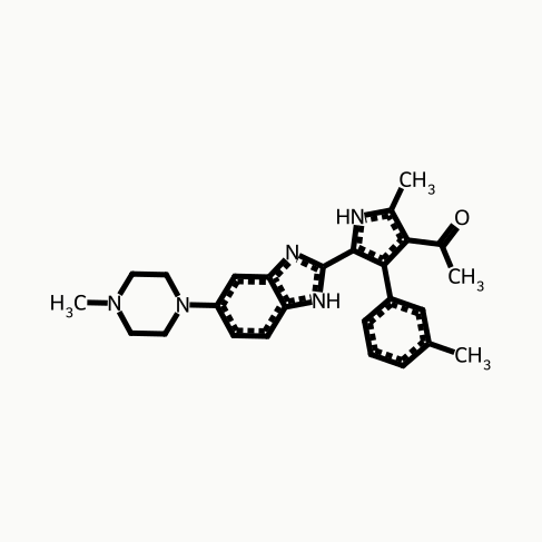 CC(=O)c1c(C)[nH]c(-c2nc3cc(N4CCN(C)CC4)ccc3[nH]2)c1-c1cccc(C)c1